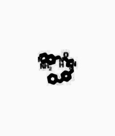 Nc1nccc2cc(CNC(=O)c3cnn(Cc4ccc(CC5CCCCC5)cc4)c3)ccc12